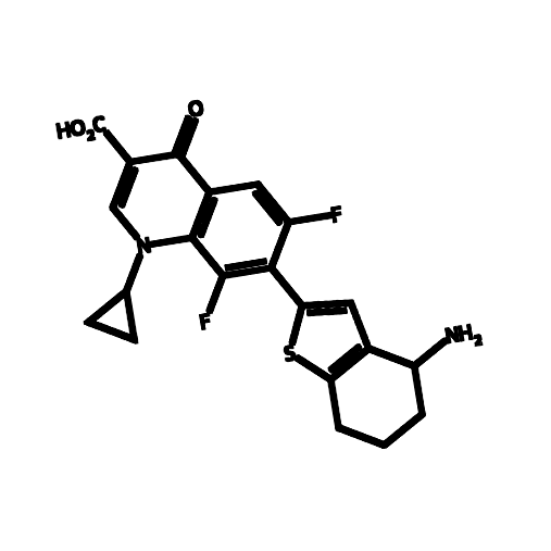 NC1CCCc2sc(-c3c(F)cc4c(=O)c(C(=O)O)cn(C5CC5)c4c3F)cc21